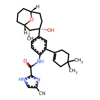 C[C@@H]1[C@@H]2CCC[C@H](CC[C@@]1(O)c1ccc(NC(=O)c3nc(C#N)c[nH]3)c(C3=CCC(C)(C)CC3)c1)O2